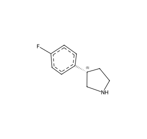 Fc1ccc([C@@H]2CCNC2)cc1